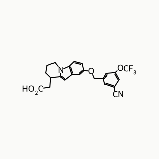 N#Cc1cc(COc2ccc3c(c2)cc2n3CCCC2CC(=O)O)cc(OC(F)(F)F)c1